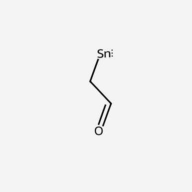 O=C[CH2][Sn]